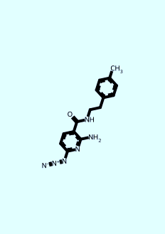 Cc1ccc(CCNC(=O)c2ccc(N=[N+]=[N-])nc2N)cc1